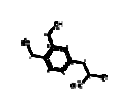 CC(C)C(C=O)Cc1ccc(CO)c(CO)c1